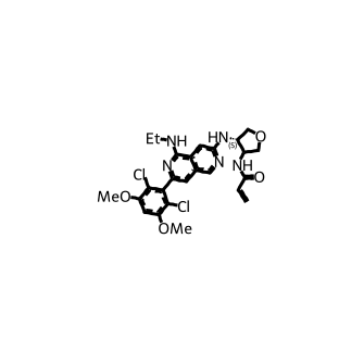 C=CC(=O)NC1COC[C@H]1Nc1cc2c(NCC)nc(-c3c(Cl)c(OC)cc(OC)c3Cl)cc2cn1